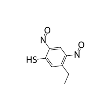 CCc1cc(S)c(N=O)cc1N=O